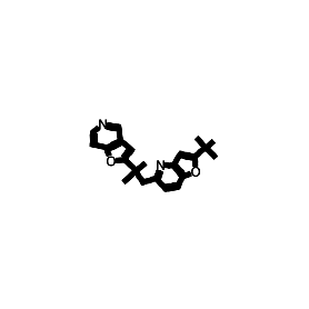 CC(C)(C)c1cc2nc(CC(C)(C)c3cc4cnccc4o3)ccc2o1